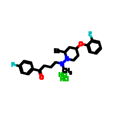 CCC1CC(Oc2ccccc2F)CCN1N(C)CCCC(=O)c1ccc(F)cc1.Cl.Cl